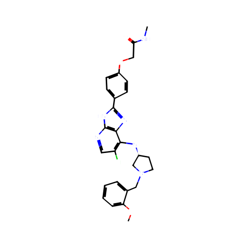 CNC(=O)COc1ccc(-c2nc3c(N[C@H]4CCN(Cc5ccccc5OC)C4)c(Cl)cnc3[nH]2)cc1